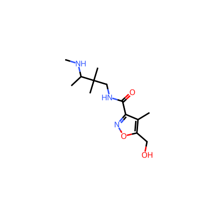 CNC(C)C(C)(C)CNC(=O)c1noc(CO)c1C